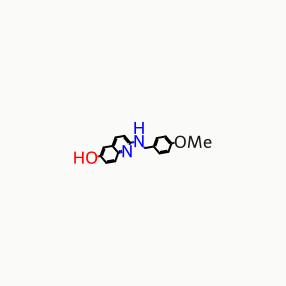 COc1ccc(CNc2ccc3cc(O)ccc3n2)cc1